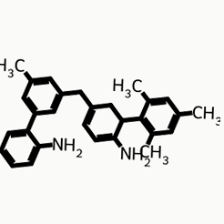 Cc1cc(CC2=CC=C(N)C(c3c(C)cc(C)cc3C)C2)cc(-c2ccccc2N)c1